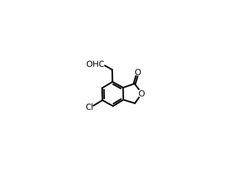 O=CCc1cc(Cl)cc2c1C(=O)OC2